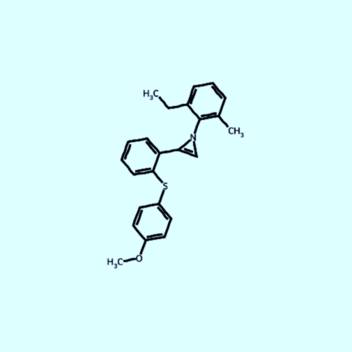 CCc1cccc(C)c1N1C=C1c1ccccc1Sc1ccc(OC)cc1